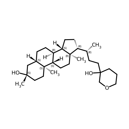 C[C@H](CCC1(O)CCCOC1)[C@H]1CC[C@H]2[C@@H]3CC[C@H]4C[C@@](C)(O)CC[C@]4(C)[C@H]3CC[C@]12C